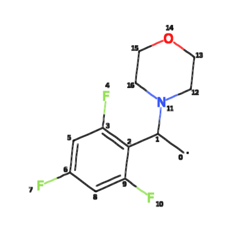 [CH2]C(c1c(F)cc(F)cc1F)N1CCOCC1